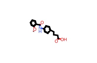 COc1ccccc1C(=O)Nc1ccc(CCCC(=O)O)cc1